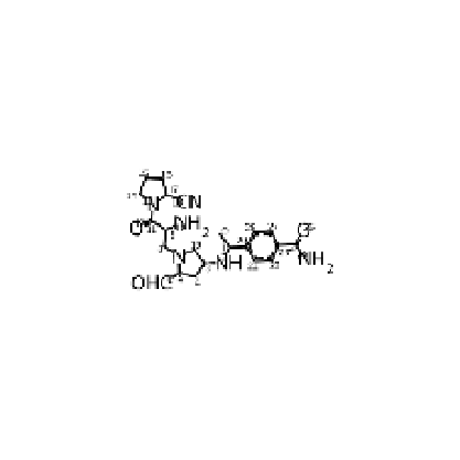 CC(N[C@H]1CC(C=O)N(CC(N)C(=O)N2CCCC2C#N)C1)c1ccc(C(N)=O)cc1